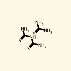 NC(=S)NC(N)=S.NC(N)=S